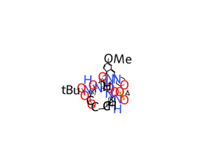 COc1ccc2c(O[C@@H]3C[C@H]4C(=O)N[C@]5(C(=O)NS(=O)(=O)C6CC6)C[C@H]5CCCCOCC[C@H](NC(=O)OC(C)(C)C)C(=O)N4C3)nc(N3CCOCC3)cc2c1